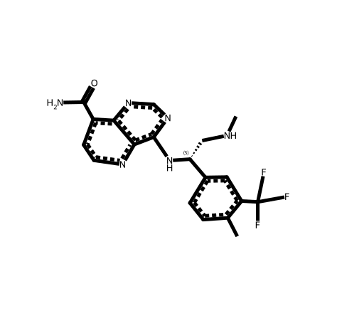 CNC[C@@H](Nc1ncnc2c(C(N)=O)ccnc12)c1ccc(C)c(C(F)(F)F)c1